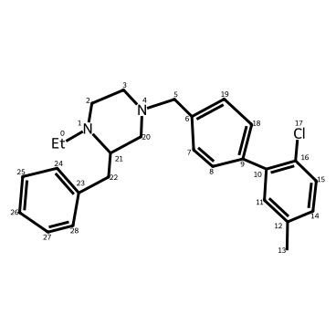 CCN1CCN(Cc2ccc(-c3cc(C)ccc3Cl)cc2)CC1Cc1ccccc1